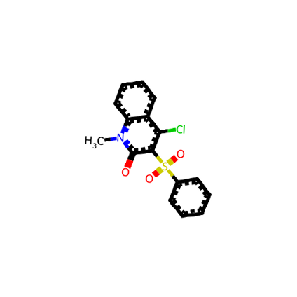 Cn1c(=O)c(S(=O)(=O)c2ccccc2)c(Cl)c2ccccc21